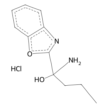 CCCC(N)(O)c1nc2ccccc2o1.Cl